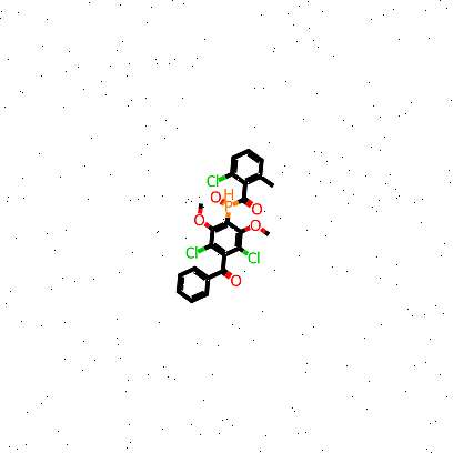 COc1c(Cl)c(C(=O)c2ccccc2)c(Cl)c(OC)c1[PH](=O)C(=O)c1c(C)cccc1Cl